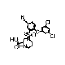 N#Cc1ccc(Oc2cc(Cl)cc(Cl)c2)c(S(=O)(=O)N2CCCNC(C(=O)O)C2)c1